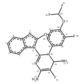 Cc1nc2ccccc2n1C1=NC(N)=C(F)C(N)N1c1ccc(OC(F)F)c(F)c1